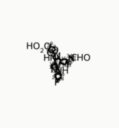 CC1(C(=O)O)COC(c2nc(-c3ccc(F)cc3)c(-c3ccnc(Nc4ccc(F)cc4)n3)[nH]2)OC1.CN(C)C=O